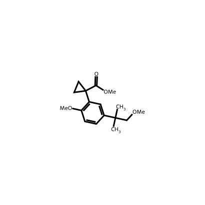 COCC(C)(C)c1ccc(OC)c(C2(C(=O)OC)CC2)c1